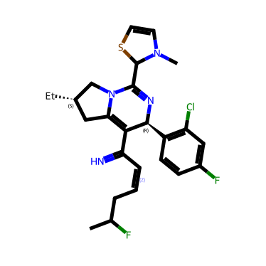 CC[C@H]1CC2=C(C(=N)/C=C\CC(C)F)[C@H](c3ccc(F)cc3Cl)N=C(C3SC=CN3C)N2C1